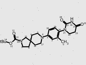 Cc1cc(N2CCC3(CCN(C(=O)OC(C)(C)C)C3)CC2)ccc1N1CCC(=O)NC1=O